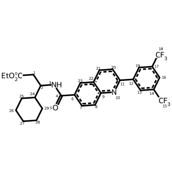 CCOC(=O)CC(NC(=O)c1ccc2nc(-c3cc(C(F)(F)F)cc(C(F)(F)F)c3)ccc2c1)C1CCCCC1